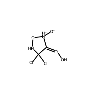 [O-][NH+]1ONC(Cl)(Cl)C1=NO